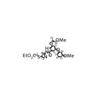 CCOC(=O)CSc1cnc(NC(=O)c2cc(Oc3cccc(OC)c3)cc(O[C@@H](C)COC)c2)s1